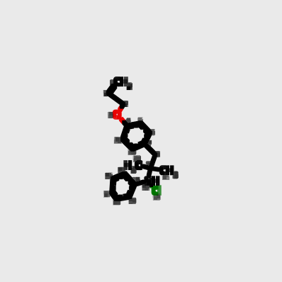 C=CCOc1ccc(CC(C)(C)[SiH](Cl)c2ccccc2)cc1